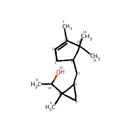 CC1=CCC(CC2CC2(C)C(C)O)C1(C)C